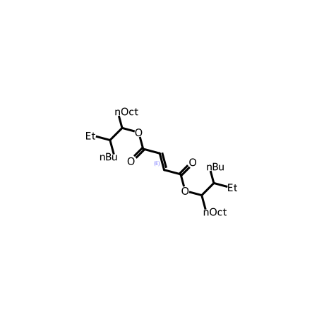 CCCCCCCCC(OC(=O)/C=C/C(=O)OC(CCCCCCCC)C(CC)CCCC)C(CC)CCCC